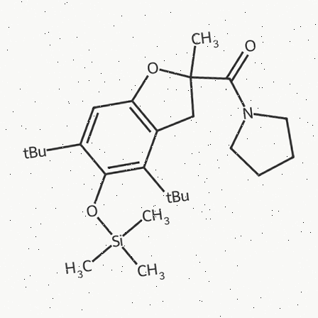 CC1(C(=O)N2CCCC2)Cc2c(cc(C(C)(C)C)c(O[Si](C)(C)C)c2C(C)(C)C)O1